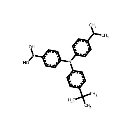 CC(C)c1ccc(N(c2ccc(B(O)O)cc2)c2ccc(C(C)(C)C)cc2)cc1